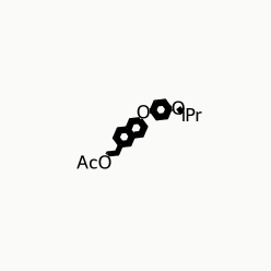 CC(=O)OCCc1ccc2cc(Oc3ccc(OC(C)C)cc3)ccc2c1